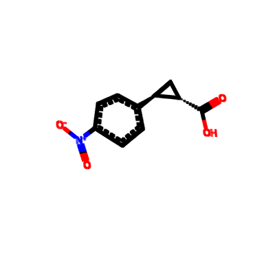 O=C(O)[C@H]1C[C@@H]1c1ccc([N+](=O)[O-])cc1